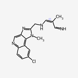 C/C(C=N)=C/NCc1nc2cnc3ccc(Cl)cc3c2n1C